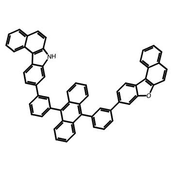 c1cc(-c2ccc3c(c2)[nH]c2ccc4ccccc4c23)cc(-c2c3ccccc3c(-c3cccc(-c4ccc5c(c4)oc4ccc6ccccc6c45)c3)c3ccccc23)c1